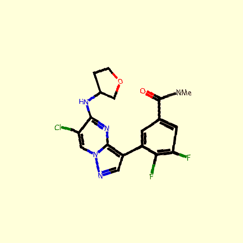 CNC(=O)c1cc(F)c(F)c(-c2cnn3cc(Cl)c(NC4CCOC4)nc23)c1